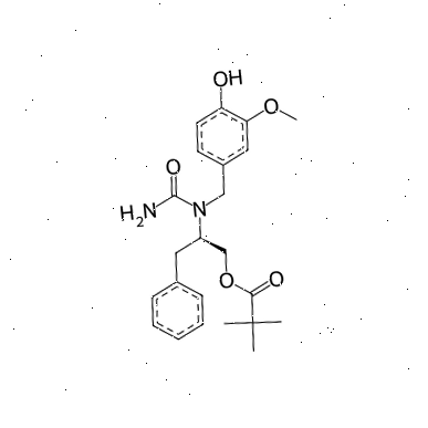 COc1cc(CN(C(N)=O)[C@@H](COC(=O)C(C)(C)C)Cc2ccccc2)ccc1O